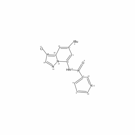 CC(C)(C)c1cc(NC(=O)c2cccnc2)n2ncc(Cl)c2c1